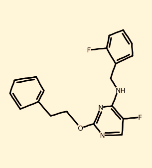 Fc1ccccc1CNc1nc(OCCc2ccccc2)ncc1F